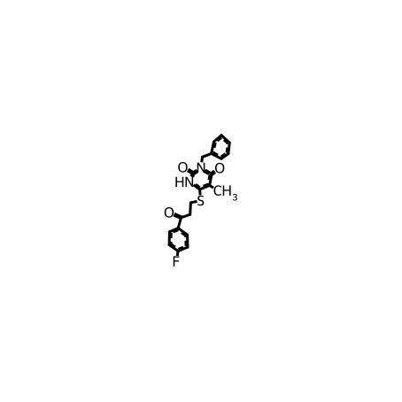 Cc1c(SCCC(=O)c2ccc(F)cc2)[nH]c(=O)n(Cc2ccccc2)c1=O